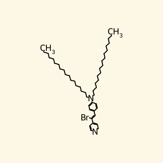 CCCCCCCCCCCCCCCCCCN(CCCCCCCCCCCCCCCCCC)c1ccc(C=C(Br)c2ccncc2)cc1